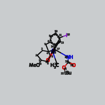 COC1CCC2(CC1)Cc1ccc(I)cc1C21N=C(NC(=O)OC(C)(C)C)N(C)C1=O